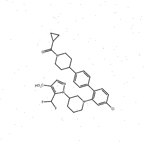 O=C(O)c1cnn(C2CCCN(c3cc(Cl)ccc3-c3ccc(C4CCN(C(=O)C5CC5)CC4)cc3)C2)c1C(F)F